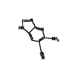 N#Cc1cc2[nH]cnc2nc1N